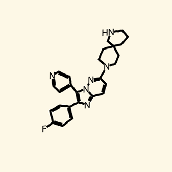 Fc1ccc(-c2nc3ccc(N4CCC5(CCCNC5)CC4)nn3c2-c2ccncc2)cc1